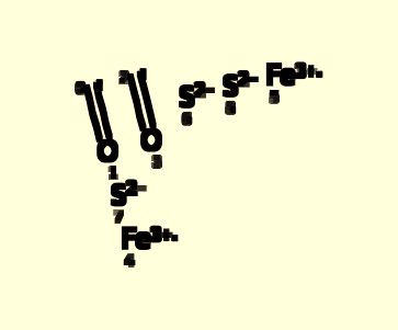 [C]=O.[C]=O.[Fe+3].[Fe+3].[S-2].[S-2].[S-2]